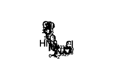 CC(C)C1c2nc(NC(=O)Cc3ccc(S(C)(=O)=O)cc3)sc2CN1Cc1cccc(Cl)c1